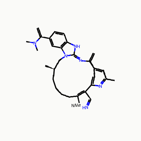 C=C1/N=C2\Nc3ccc(C(=C)N(C)C)cc3N2C[C@H](C)CCCC/C(NC)=C(/C=N)c2cc1cc(C)n2